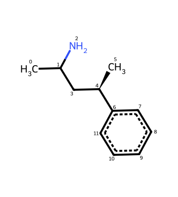 CC(N)C[C@@H](C)c1ccccc1